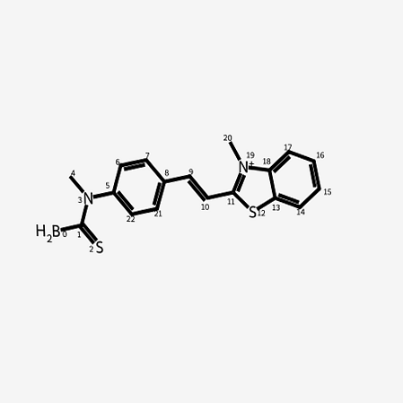 BC(=S)N(C)c1ccc(C=Cc2sc3ccccc3[n+]2C)cc1